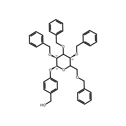 OCc1ccc(O[C@@H]2OC(COCc3ccccc3)[C@H](OCc3ccccc3)C(OCc3ccccc3)[C@@H]2OCc2ccccc2)cc1